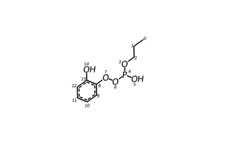 CCCOP(O)OOc1ccccc1O